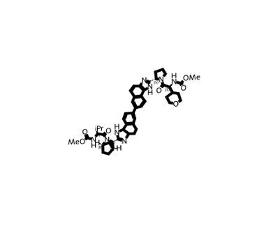 COC(=O)N[C@H](C(=O)N1[C@@H]2CC[C@@H](C2)[C@H]1C1=NC2CCc3cc(-c4ccc5c(ccc6nc([C@@H]7CCCN7C(=O)[C@@H](NC(=O)OC)C7CCOCC7)[nH]c65)c4)ccc3C2N1)C(C)C